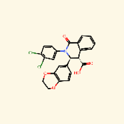 O=C(O)[C@H]1c2ccccc2C(=O)N(c2ccc(Cl)c(Cl)c2)[C@@H]1c1ccc2c(c1)OCCO2